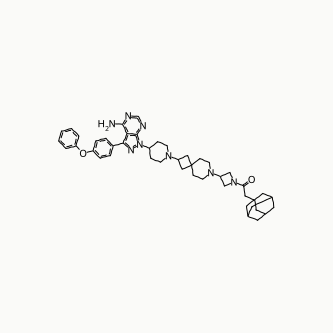 Nc1ncnc2c1c(-c1ccc(Oc3ccccc3)cc1)nn2C1CCN(C2CC3(CCN(C4CN(C(=O)CC56CC7CC(CC(C7)C5)C6)C4)CC3)C2)CC1